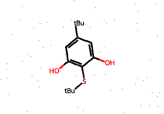 CC(C)(C)Sc1c(O)cc(C(C)(C)C)cc1O